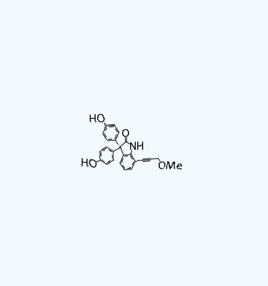 COCC#Cc1cccc2c1NC(=O)C2(c1ccc(O)cc1)c1ccc(O)cc1